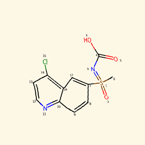 CS(=O)(=NC(=O)O)c1ccc2nccc(Cl)c2c1